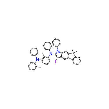 Cc1ccccc1N(c1ccccc1)c1cccc(N(c2ccccc2)c2c(I)c3cc4c(cc3n2-c2ccccc2)C(C)(C)c2ccccc2-4)c1C